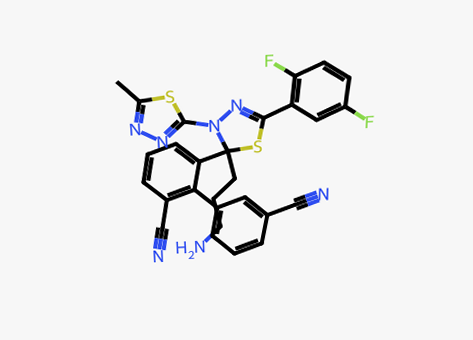 Cc1nnc(N2N=C(c3cc(F)ccc3F)SC2(CCCN)c2cccc(C#N)c2-c2cccc(C#N)c2)s1